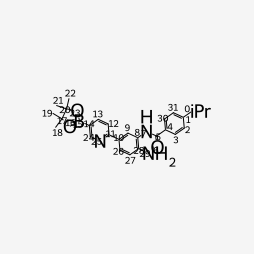 CC(C)c1ccc(C(=O)Nc2cc(-c3ccc(B4OC(C)(C)C(C)(C)O4)cn3)ccc2N)cc1